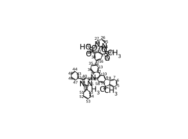 CC1(C)c2ccccc2-c2cc3c4cc(-c5cc(S(C)(=O)=O)c(-c6ncccn6)c(S(=O)(=O)O)c5)ccc4n(-c4cc(-c5ccccc5)nc(-c5ccccc5)n4)c3cc21